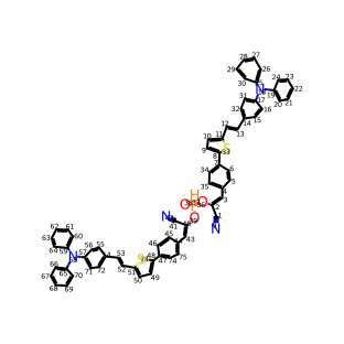 N#CC(=Cc1ccc(-c2ccc(C=Cc3ccc(N(c4ccccc4)c4ccccc4)cc3)s2)cc1)O[PH](=O)OC(C#N)=Cc1ccc(-c2ccc(C=Cc3ccc(N(c4ccccc4)c4ccccc4)cc3)s2)cc1